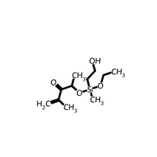 C=C(C)C(=O)C(C)O[Si](C)(CCO)OCC